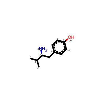 CC(C)[C@@H](N)Cc1ccc(O)cc1